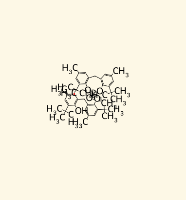 Cc1cc(Cc2cc(C)cc(C(C)(C)C)c2OP2(=O)Oc3c(cc(C)cc3C(C)(C)C)Cc3cc(C)cc(C(C)(C)C)c3O2)c(O)c(C(C)(C)C)c1